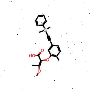 COC(C)=C(Oc1cc(C#C[Si](C)(C)c2ccccc2)ccc1C)C(=O)O